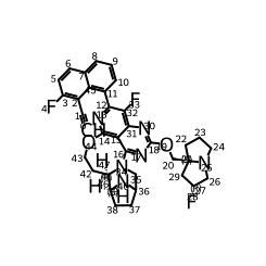 C#Cc1c(F)ccc2cccc(-c3nc4c5c(nc(OC[C@@]67CCCN6C[C@H](F)C7)nc5c3F)N3CC5CC[C@H](N5)[C@H]3CCO4)c12